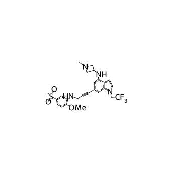 COc1ccc(S(C)(=O)=O)cc1NCC#Cc1cc(NC2CN(C)C2)c2ccn(CC(F)(F)F)c2c1